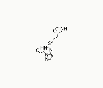 O=CC1NC(SCCCC2CNCCO2)=Nc2ccnn21